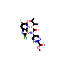 COC(=O)c1ncc(NC(=O)OC(C)C(C)Oc2nc3sc(Cl)nc3cc2F)cn1